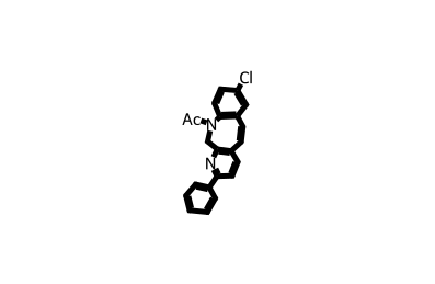 CC(=O)N1Cc2nc(-c3ccccc3)ccc2/C=C\c2cc(Cl)ccc21